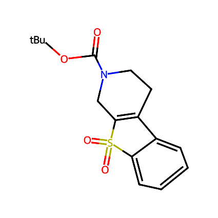 CC(C)(C)OC(=O)N1CCC2=C(C1)S(=O)(=O)c1ccccc12